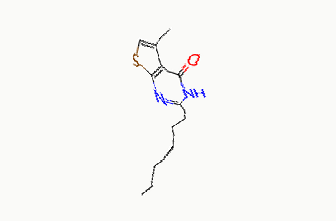 CCCCCCc1nc2scc(C)c2c(=O)[nH]1